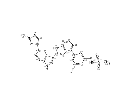 Cn1cc(-c2cnc3[nH]nc(-c4cc5c(-c6cc(F)cc(CNS(C)(=O)=O)c6)nccc5[nH]4)c3c2)cn1